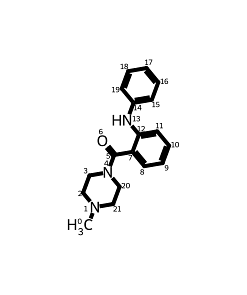 CN1CCN(C(=O)c2ccccc2Nc2ccccc2)CC1